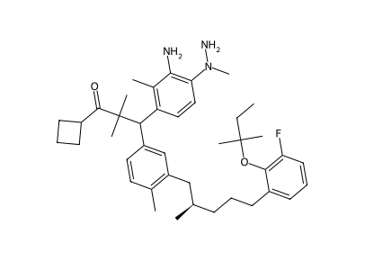 CCC(C)(C)Oc1c(F)cccc1CCC[C@@H](C)Cc1cc(C(c2ccc(N(C)N)c(N)c2C)C(C)(C)C(=O)C2CCC2)ccc1C